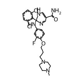 CN1CCN(CCCOc2ccc(NC3(c4c(Cl)cccc4Cl)N=CC(C(N)=O)=CN3)cc2F)CC1